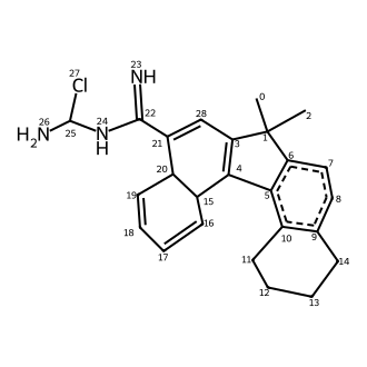 CC1(C)C2=C(c3c1ccc1c3CCCC1)C1C=CC=CC1C(C(=N)NC(N)Cl)=C2